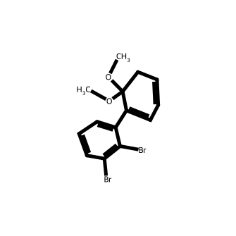 COC1(OC)CC=CC=C1c1cccc(Br)c1Br